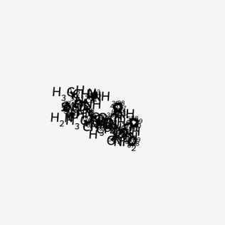 CC(C)C[C@H](NC(=O)[C@H](Cc1c[nH]cn1)NC(=O)CNC(=O)[C@@H](NC(=O)[C@H](C)NC(=O)[C@H](Cc1c[nH]c2ccccc12)NC(=O)[C@H](CCC(N)=O)NC(=O)[C@@H](Cc1ccccc1)NC(=O)[C@@H]1CCCCN1)C(C)C)C(=O)N1CSC[C@H]1C(N)=O